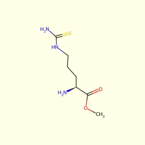 COC(=O)[C@@H](N)CCCNC(N)=S